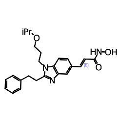 CC(C)OCCCn1c(CCc2ccccc2)nc2cc(/C=C/C(=O)NO)ccc21